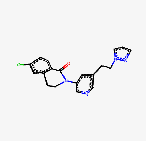 O=C1c2ccc(Cl)cc2CCN1c1cncc(CCn2cccn2)c1